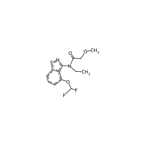 CCN(C(=O)COC)c1nsc2cccc(OC(F)F)c12